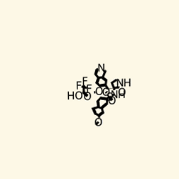 COc1ccc2ccc(S(=O)(=O)N[C@@]3(Cc4cc5cnccc5cc4OC)CCNC3=O)cc2c1.O=C(O)C(F)(F)F